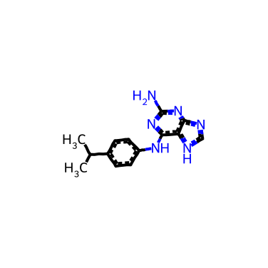 CC(C)c1ccc(Nc2nc(N)nc3nc[nH]c23)cc1